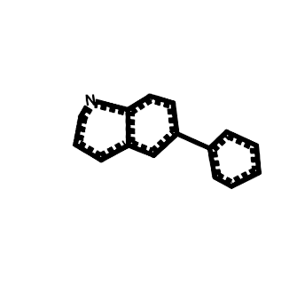 c1ccc(-c2ccc3ncccc3c2)cc1